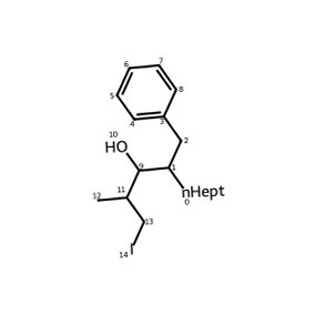 CCCCCCCC(Cc1ccccc1)C(O)C(C)CI